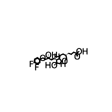 O=C(O)CCC[C@H]1CC[C@@H]2[C@@H](C=C[C@@H](O)COc3ccc(F)c(F)c3)[C@H](O)C[C@@H]2OC1